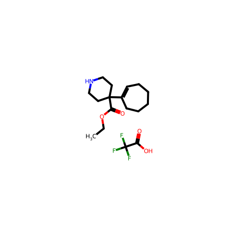 CCOC(=O)C1(C2=CCCCCC2)CCNCC1.O=C(O)C(F)(F)F